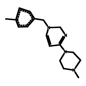 Cc1ccc(CN2C=CC(N3CCN(C)CC3)=NC2)cc1